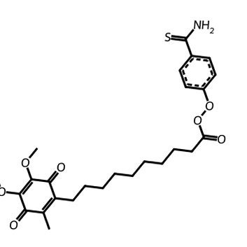 COC1=C(OC)C(=O)C(CCCCCCCCCC(=O)OOc2ccc(C(N)=S)cc2)=C(C)C1=O